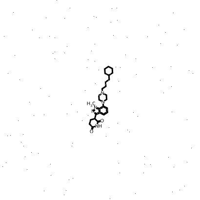 Cn1nc(C2CCC(=O)NC2=O)c2cccc(N3CCN(CCCCC4CCCCC4)CC3)c21